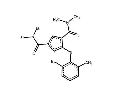 CCc1cccc(C)c1Sc1nn(C(=O)N(CC)CC)cc1C(=O)N(C)C